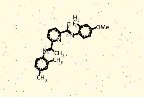 COc1ccc(/N=C(\C)c2cccc(/C(C)=N/c3ccc(C)cc3C)n2)c(C)c1